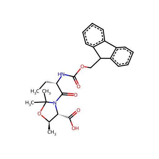 CC[C@H](NC(=O)OCC1c2ccccc2-c2ccccc21)C(=O)N1[C@H](C(=O)O)[C@@H](C)OC1(C)C